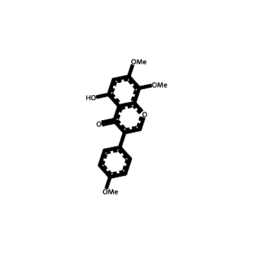 COc1ccc(-c2coc3c(OC)c(OC)cc(O)c3c2=O)cc1